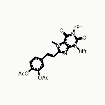 CCCn1c(=O)c2c(nc(C=Cc3ccc(OC(C)=O)c(OC(C)=O)c3)n2C)n(CCC)c1=O